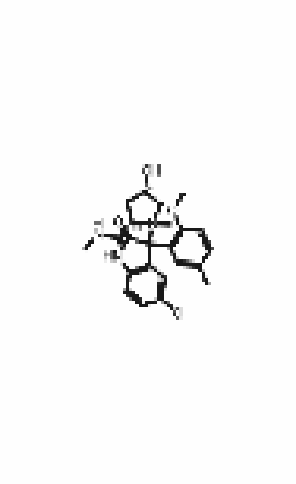 CNC(=O)[C@H]1C[C@@H](O)C[N+]1(C)C1(c2cc(C)ccc2OC)C(=O)Nc2ccc(Cl)cc21